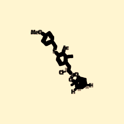 COc1ccc(CSc2ccc(C[C@@H](Cl)B3OC4C[C@@H]5C[C@@H](C5(C)C)[C@]4(C)O3)c(C)c2C(C)=O)cc1